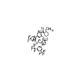 CCC1CCCCC1Nc1ncc(N2CCC(F)(F)C2)cc1CN1C(=O)O[C@H](c2cc(C(F)(F)F)cc(C(F)(F)F)c2)[C@@H]1C